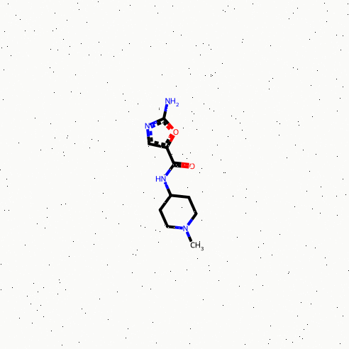 CN1CCC(NC(=O)c2cnc(N)o2)CC1